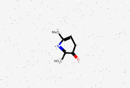 COC1=CCC(=O)C(C(=O)O)=N1